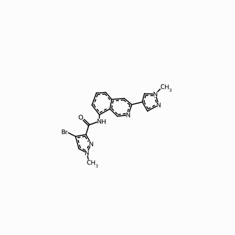 Cn1cc(-c2cc3cccc(NC(=O)c4nn(C)cc4Br)c3cn2)cn1